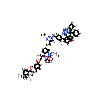 CCCc1nc(CSc2ccc(NC(=O)COc3ccc(CN(CC(=O)OCC)C(=O)c4cccc(C(F)(F)F)c4)cc3)c(N(C)C(=O)OC(C)(C)C)c2)c(C(=O)OCC)n1Cc1ccc(-c2ccccc2-c2nnnn2C(c2ccccc2)(c2ccccc2)c2ccccc2)cc1